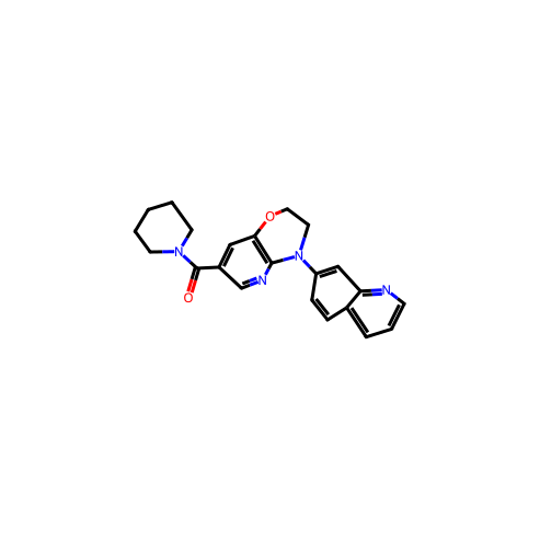 O=C(c1cnc2c(c1)OCCN2c1ccc2cccnc2c1)N1CCCCC1